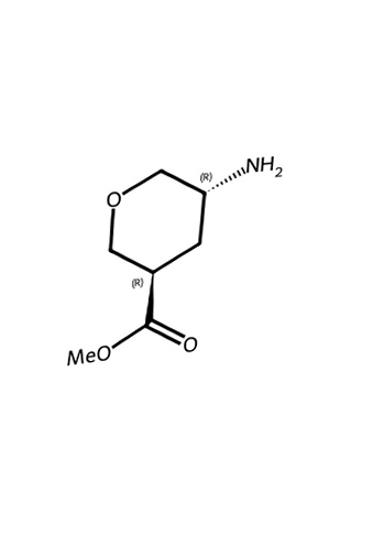 COC(=O)[C@H]1COC[C@H](N)C1